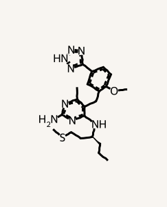 CCC[C@@H](CCSC)Nc1nc(N)nc(C)c1Cc1cc(-c2nn[nH]n2)ccc1OC